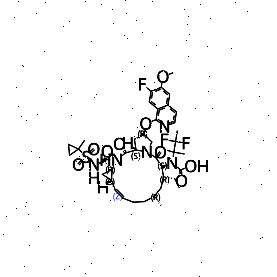 CC[C@@H]1C[C@H](C)CC/C=C\[C@@H]2C[C@@]2(C(=O)NS(=O)(=O)C2(C)CC2)NC(=O)[C@@H]2C[C@@H](Oc3nccc4cc(OC)c(F)cc34)CN2C(=O)[C@H]1N(C(=O)O)C(C)(C)C(C)(F)F